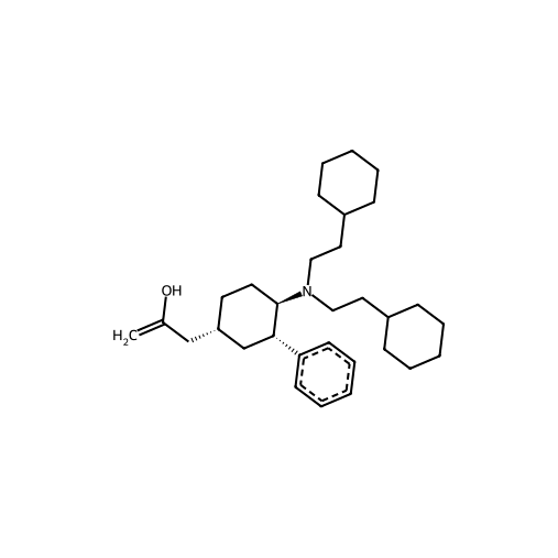 C=C(O)C[C@@H]1CC[C@@H](N(CCC2CCCCC2)CCC2CCCCC2)[C@H](c2ccccc2)C1